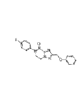 O=C1c2nc(COc3ccccc3)nn2CCN1c1ccc(F)cc1